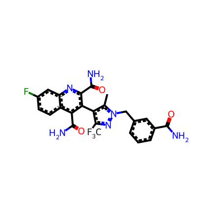 Cc1c(-c2c(C(N)=O)nc3cc(F)ccc3c2C(N)=O)c(C(F)(F)F)nn1Cc1cccc(C(N)=O)c1